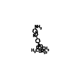 CC1(C)OB(c2ccc(-c3cn4cc(N)ccc4n3)cc2)OC1(C)C